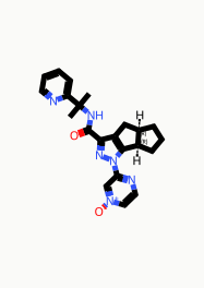 CC(C)(NC(=O)c1nn(-c2c[n+]([O-])ccn2)c2c1C[C@H]1CCC[C@@H]21)c1ccccn1